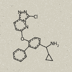 NC(c1ccc(Oc2ccc3nnc(Cl)n3n2)c(-c2ccccc2)c1)C1CC1